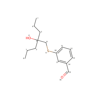 CCCC(O)(CCC)CSc1cccc(C=O)c1